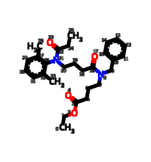 CCOC(=O)CCCN(Cc1ccccc1)C(=O)CCCN(C(=O)CC)c1c(C)cccc1C